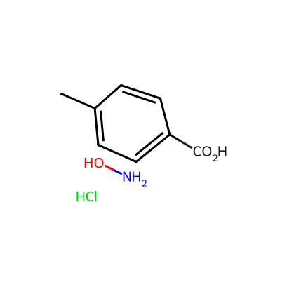 Cc1ccc(C(=O)O)cc1.Cl.NO